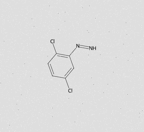 N=Nc1cc(Cl)ccc1Cl